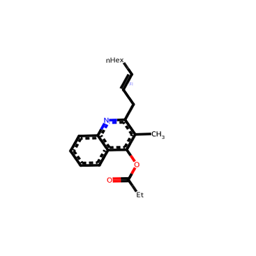 CCCCCC/C=C/Cc1nc2ccccc2c(OC(=O)CC)c1C